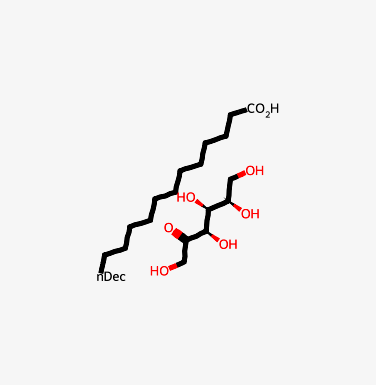 CCCCCCCCCCCCCCCCCCCCCC(=O)O.O=C(CO)[C@H](O)[C@@H](O)[C@H](O)CO